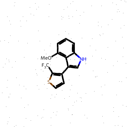 COc1cccc2[nH]cc(-c3ccsc3C(F)(F)F)c12